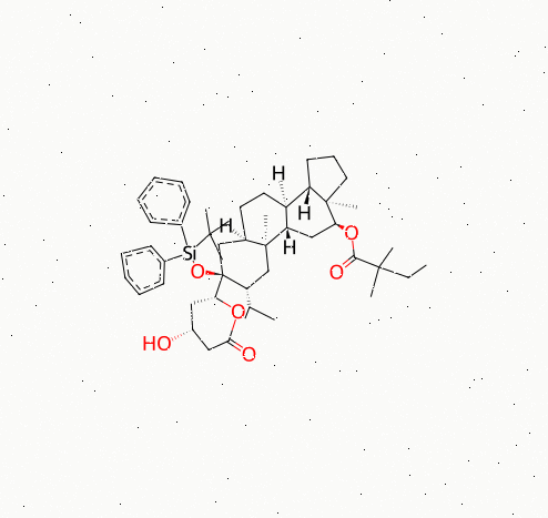 CCC(C)(C)C(=O)O[C@H]1C[C@H]2[C@@H](CC[C@@H]3C[C@@](O[Si](c4ccccc4)(c4ccccc4)C(C)(C)C)([C@H]4C[C@@H](O)CC(=O)O4)[C@@H](C(C)C)C[C@@]32C)[C@@H]2CCC[C@@]12C